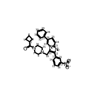 O=C(C1CCC1)N1CCN(Cc2c(-c3cccc([N+](=O)[O-])c3)nc3ccc(-c4ccccc4)cn23)CC1